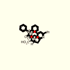 CC(C)c1cc(CN(C)C(=O)N2C3CC[C@@H]2[C@@H](C(=O)O)N(C(=O)N(c2ccccc2)c2ccccc2)C3)ccn1